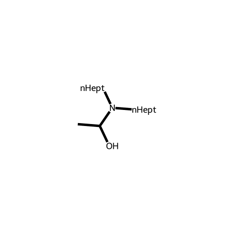 CCCCCCCN(CCCCCCC)C(C)O